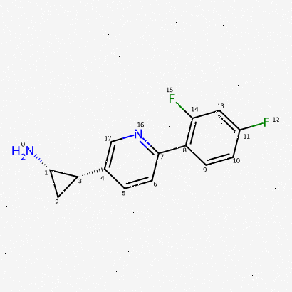 N[C@H]1C[C@H]1c1ccc(-c2ccc(F)cc2F)nc1